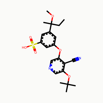 CCC(C)(OC)c1cc(Oc2cncc(OC(C)(C)C)c2C#N)cc(S(=O)(=O)O)c1